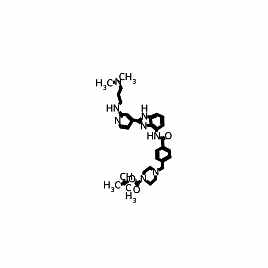 CN(C)CCCNc1cc(-c2nc3c(NC(=O)c4ccc(CN5CCN(C(=O)OC(C)(C)C)CC5)cc4)cccc3[nH]2)ccn1